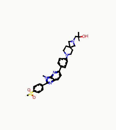 Cn1c(-c2ccc(S(C)(=O)=O)cc2)nc2ccc(-c3ccc(N4CCC5(CC4)CN(CC(C)(C)O)C5)cc3)nc21